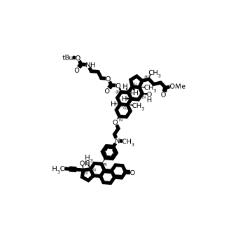 CC#C[C@]1(O)CCC2C3CCC4=CC(=O)CCC4=C3[C@@H](c3ccc(N(C)CCO[C@H]4CC[C@@]5(C)[C@@H](C4)C[C@@H](OC(=O)OCCCNC(=O)OC(C)(C)C)[C@@H]4[C@@H]5C[C@H](O)[C@]5(C)C([C@H](C)CCC(=O)OC)CC[C@@H]45)cc3)C[C@@]21C